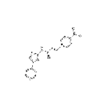 O=C(C=Cc1ccc([N+](=O)[O-])cc1)Nc1nc(-c2ccncc2)cs1